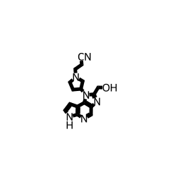 N#CCCN1CCC(n2c(CO)nc3cnc4[nH]ccc4c32)C1